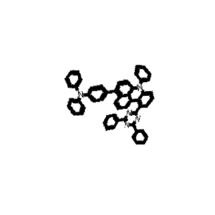 c1ccc(-c2nc(-c3ccccc3)nc(-c3cccc4c3-c3cccc5c(-c6ccc(N(c7ccccc7)c7ccccc7)cc6)ccc(c35)N4c3ccccc3)n2)cc1